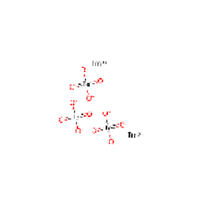 O=[Te](=O)([O-])[O-].O=[Te](=O)([O-])[O-].O=[Te](=O)([O-])[O-].[Tm+3].[Tm+3]